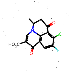 CC1CC(=O)c2c(Cl)c(F)cc3c(=O)c(C(=O)O)cn1c23